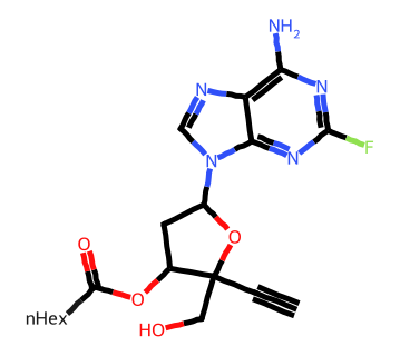 C#CC1(CO)OC(n2cnc3c(N)nc(F)nc32)CC1OC(=O)CCCCCC